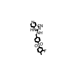 Cc1ccc(S(=O)(=O)c2ccc(CNC(=NC#N)Nc3ccncc3)cc2)cc1F